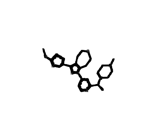 COc1ccc(-c2nn(-c3ccnc([C@H](C)N4CCN(C)CC4)c3)c3c2CCOCC3)cn1